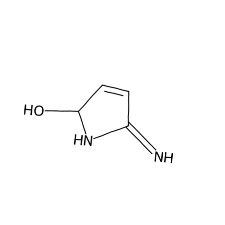 N=C1C=CC(O)N1